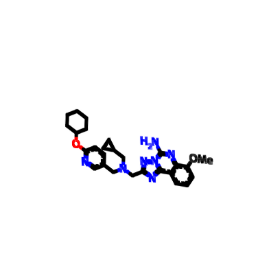 COc1cccc2c1nc(N)n1nc(CN(Cc3ccc(OC4CCCCC4)nc3)CC3CC3)nc21